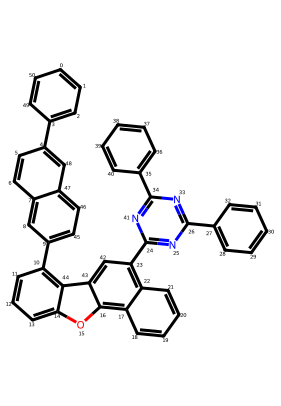 c1ccc(-c2ccc3cc(-c4cccc5oc6c7ccccc7c(-c7nc(-c8ccccc8)nc(-c8ccccc8)n7)cc6c45)ccc3c2)cc1